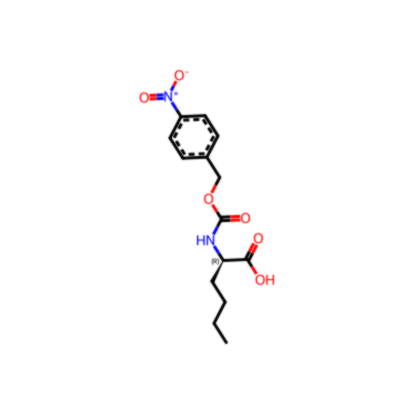 CCCC[C@@H](NC(=O)OCc1ccc([N+](=O)[O-])cc1)C(=O)O